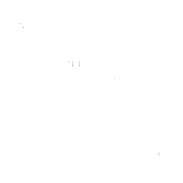 CCCCC(Cl)C1NC(C#N)CS1